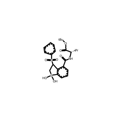 CC(C)[C@H](NC(=O)c1cccc2c1C(S(=O)(=O)c1ccccc1)CS2(O)O)C(=O)OC(C)(C)C